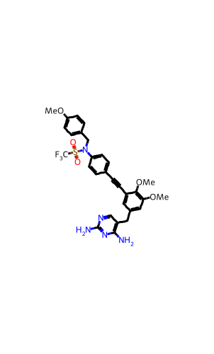 COc1ccc(CN(c2ccc(C#Cc3cc(Cc4cnc(N)nc4N)cc(OC)c3OC)cc2)S(=O)(=O)C(F)(F)F)cc1